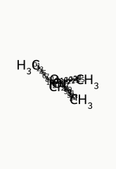 CCCCCCCCCCCC(C)C(=O)OCC(CCCCCCCC)CCCCCCCCC